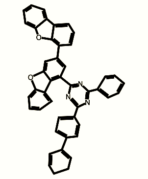 C1=CC(c2ccc(-c3nc(-c4ccccc4)nc(-c4cc(-c5cccc6c5oc5ccccc56)cc5oc6ccccc6c45)n3)cc2)=CCC1